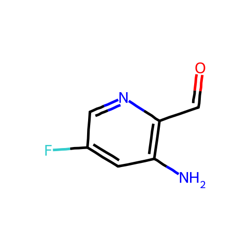 Nc1cc(F)cnc1C=O